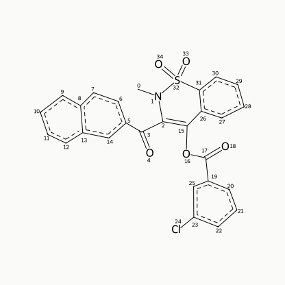 CN1C(C(=O)c2ccc3ccccc3c2)=C(OC(=O)c2cccc(Cl)c2)c2ccccc2S1(=O)=O